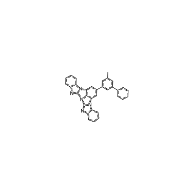 Cc1cc(-c2ccccc2)cc(-c2cc3c4c(c2)n2c5ccccc5nc2n4c2nc4ccccc4n32)c1